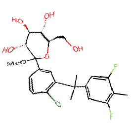 COC1(c2ccc(Cl)c(C(C)(C)c3cc(F)c(C)c(F)c3)c2)O[C@H](CO)[C@@H](O)[C@H](O)[C@H]1O